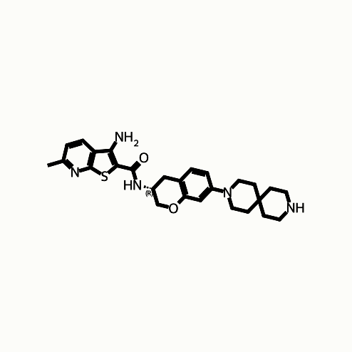 Cc1ccc2c(N)c(C(=O)N[C@H]3COc4cc(N5CCC6(CCNCC6)CC5)ccc4C3)sc2n1